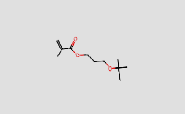 C=C(C)C(=O)OCCCOC(C)(C)C